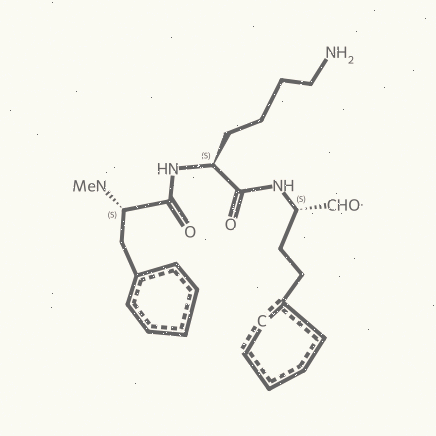 CN[C@@H](Cc1ccccc1)C(=O)N[C@@H](CCCCN)C(=O)N[C@H]([C]=O)CCc1ccccc1